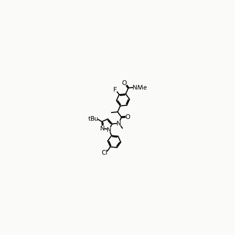 CNC(=O)c1ccc(C(C)C(=O)N(C)c2cc(C(C)(C)C)nn2-c2cccc(Cl)c2)cc1F